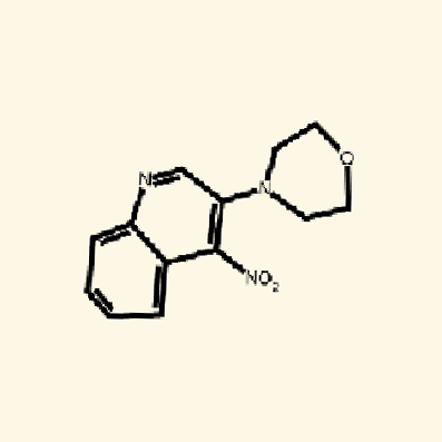 O=[N+]([O-])c1c(N2CCOCC2)cnc2ccccc12